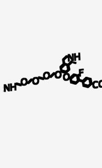 CC(=O)NCCOCCOCCOCCOc1cc2c(cc1Oc1ccc(-c3ccc(C(=O)O)cc3)c(F)c1)[C@H](C)NCC2